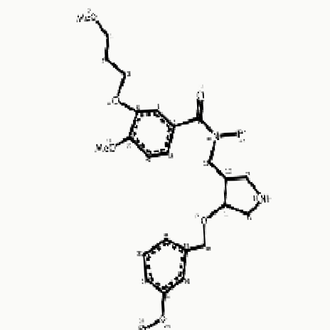 COCCCOc1cc(C(=O)N(CC2CNCC2OCc2cccc(OC(C)C)c2)C(C)C)ccc1OC